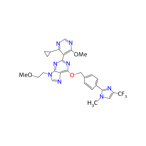 COCCn1cnc2c(OCc3ccc(-c4nc(C(F)(F)F)cn4C)cc3)nc(-c3c(OC)ncnc3C3CC3)nc21